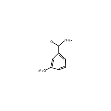 CCCCCCC([O])c1cccc(OC)c1